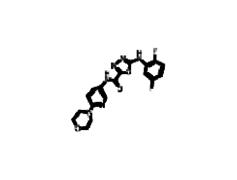 O=C(Nc1ccc(N2CCOCC2)nc1)c1nnc(Nc2cc(F)ccc2F)o1